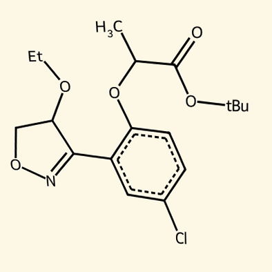 CCOC1CON=C1c1cc(Cl)ccc1OC(C)C(=O)OC(C)(C)C